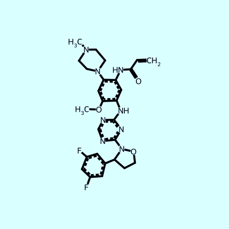 C=CC(=O)Nc1cc(Nc2ncnc(N3OCCC3c3cc(F)cc(F)c3)n2)c(OC)cc1N1CCN(C)CC1